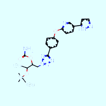 CC(C)(C)C(O[Si](C)(C)C(C)(C)C)C(Cn1nnc(-c2ccc(Oc3ccc(-c4ccn[nH]4)cn3)cc2)n1)OC(N)=O